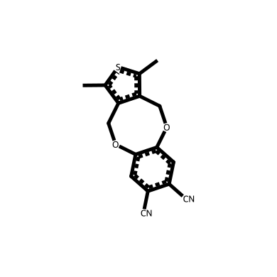 Cc1sc(C)c2c1COc1cc(C#N)c(C#N)cc1OC2